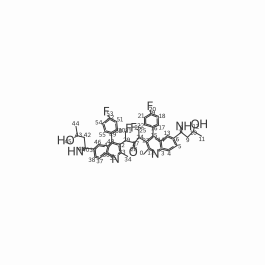 Cc1nc2ccc(C(=N)CC(C)O)cc2c(-c2ccc(F)cc2)c1C(CF)C(=O)C(CF)c1c(C)nc2ccc(C(=N)CC(C)O)cc2c1-c1ccc(F)cc1